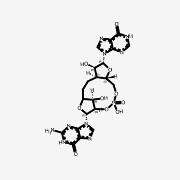 Nc1nc2c(ncn2[C@@H]2OC3CC[C@H]4[C@@H](O)[C@H](n5cnc6c(=O)[nH]cnc65)O[C@@H]4COP(=O)(O)O[C@@H]2[C@@H]3O)c(=O)[nH]1